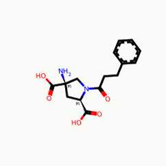 N[C@]1(C(=O)O)C[C@H](C(=O)O)N(C(=O)CCc2ccccc2)C1